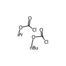 CC(C)OC(=O)Cl.CCCCOC(=O)Cl